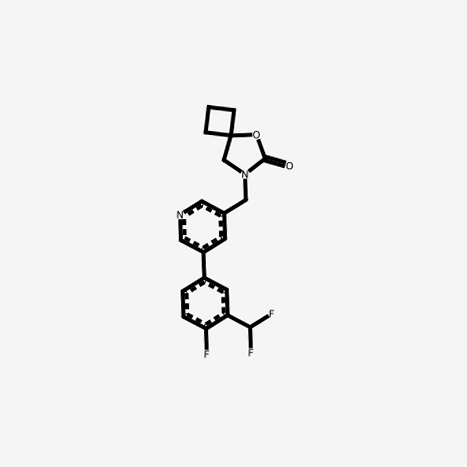 O=C1OC2(CCC2)CN1Cc1cncc(-c2ccc(F)c(C(F)F)c2)c1